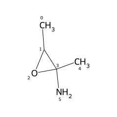 CC1OC1(C)N